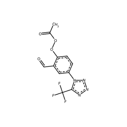 CC(=O)OOc1ccc(-n2nnnc2C(F)(F)F)cc1C=O